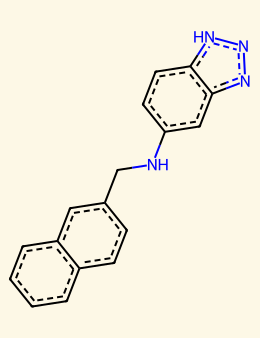 c1ccc2cc(CNc3ccc4[nH]nnc4c3)ccc2c1